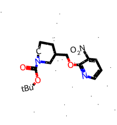 CC(C)(C)OC(=O)N1CCCC(COc2ncccc2[N+](=O)[O-])C1